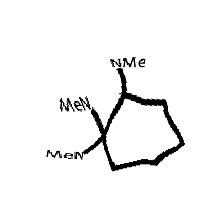 CN[C]1CCCCC1(NC)NC